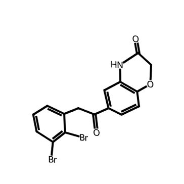 O=C1COc2ccc(C(=O)Cc3cccc(Br)c3Br)cc2N1